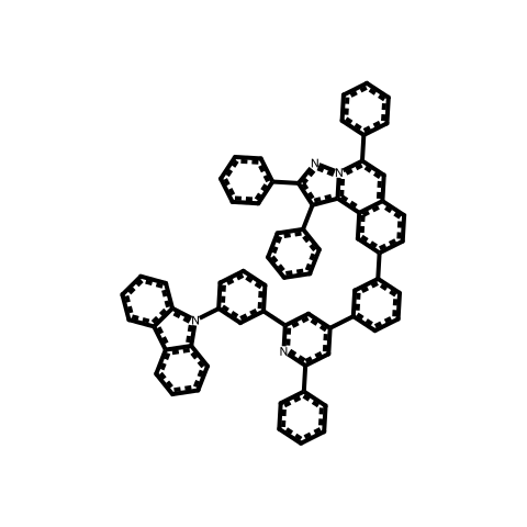 c1ccc(-c2cc(-c3cccc(-c4ccc5cc(-c6ccccc6)n6nc(-c7ccccc7)c(-c7ccccc7)c6c5c4)c3)cc(-c3cccc(-n4c5ccccc5c5ccccc54)c3)n2)cc1